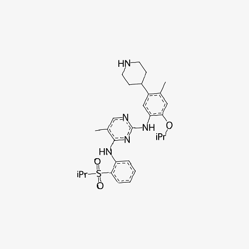 Cc1cc(OC(C)C)c(Nc2ncc(C)c(Nc3ccccc3S(=O)(=O)C(C)C)n2)cc1C1CCNCC1